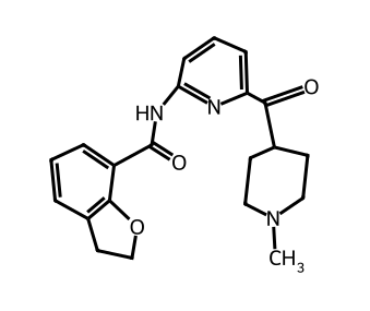 CN1CCC(C(=O)c2cccc(NC(=O)c3cccc4c3OCC4)n2)CC1